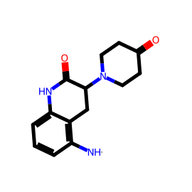 [NH]c1cccc2c1CC(N1CCC(=O)CC1)C(=O)N2